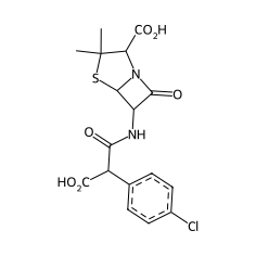 CC1(C)SC2C(NC(=O)C(C(=O)O)c3ccc(Cl)cc3)C(=O)N2C1C(=O)O